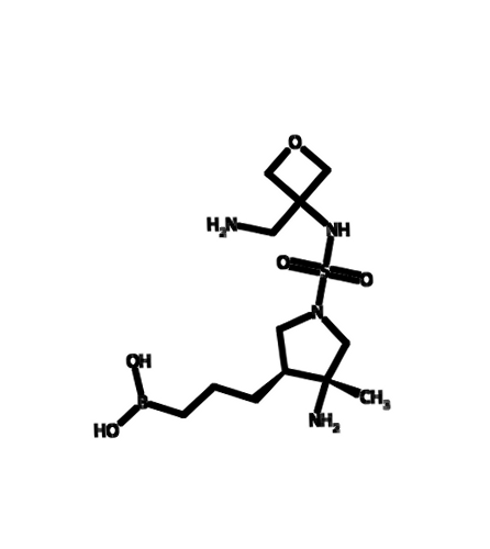 C[C@]1(N)CN(S(=O)(=O)NC2(CN)COC2)C[C@@H]1CCCB(O)O